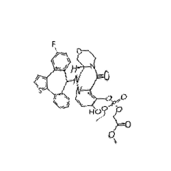 CCOP(=O)(OCC(=O)OC)OC1=C2C(=O)N3CCOC[C@H]3N(C3c4ccc(F)cc4-c4ccsc4-c4ccccc43)N2C=CC1O